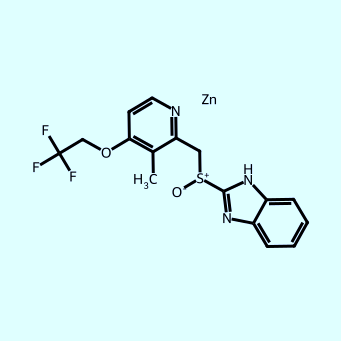 Cc1c(OCC(F)(F)F)ccnc1C[S+]([O-])c1nc2ccccc2[nH]1.[Zn]